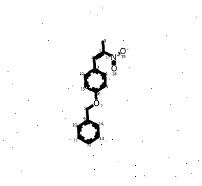 CC(=Cc1ccc(OCc2ccccc2)cc1)[N+](=O)[O-]